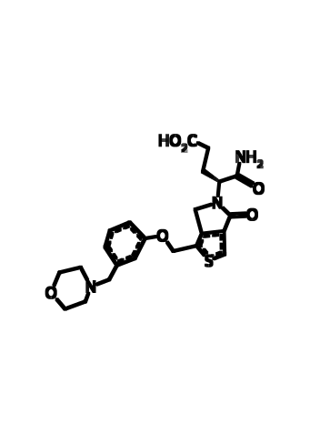 NC(=O)[C@H](CCC(=O)O)N1Cc2c(csc2COc2cccc(CN3CCOCC3)c2)C1=O